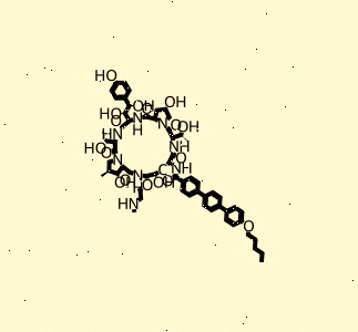 CCCCCOc1ccc(-c2ccc(-c3ccc(C(=O)N[C@H]4C[C@@H](O)C(OCCNC)NC(=O)C5[C@@H](O)[C@@H](C)CN5C(=O)C([C@@H](C)O)NC(=O)C([C@H](O)[C@@H](O)c5ccc(O)cc5)NC(=O)C5C[C@@H](O)CN5C(=O)C([C@@H](C)O)NC4=O)cc3)cc2)cc1